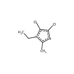 CCn1c(C)nc(Cl)c1Cl